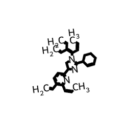 C=CC(C=C)=C(/C=C\C)N1CC(c2ccc(C=C)c(/C=C\C)n2)N=C1C1C=CCCC1